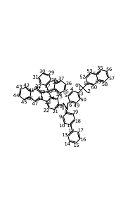 CC(C)(c1ccc(N(c2ccc(-c3ccccc3)cc2)c2ccc3c(c2)C(c2ccccc2)(c2ccccc2)c2cc4ccccc4cc2-3)cc1)c1ccc2ccccc2c1